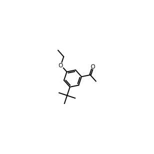 CCOc1cc(C(C)=O)cc(C(C)(C)C)c1